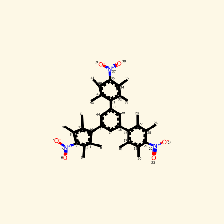 Cc1c(C)c([N+](=O)[O-])c(C)c(C)c1-c1cc(-c2c(C)c(C)c([N+](=O)[O-])c(C)c2C)cc(-c2c(C)c(C)c([N+](=O)[O-])c(C)c2C)c1